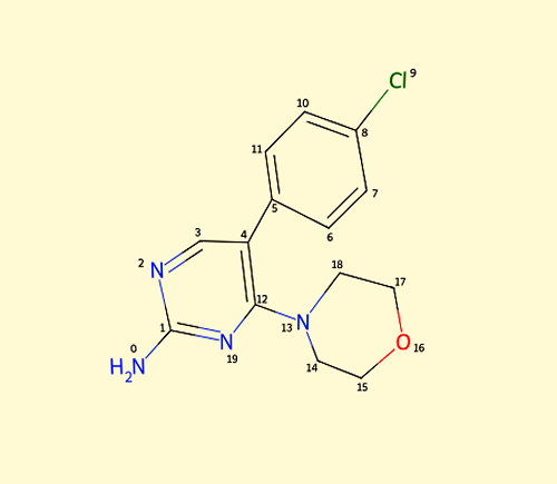 Nc1ncc(-c2ccc(Cl)cc2)c(N2CCOCC2)n1